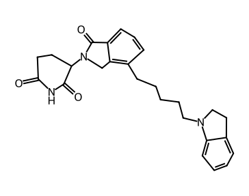 O=C1CCC(N2Cc3c(CCCCCN4CCc5ccccc54)cccc3C2=O)C(=O)N1